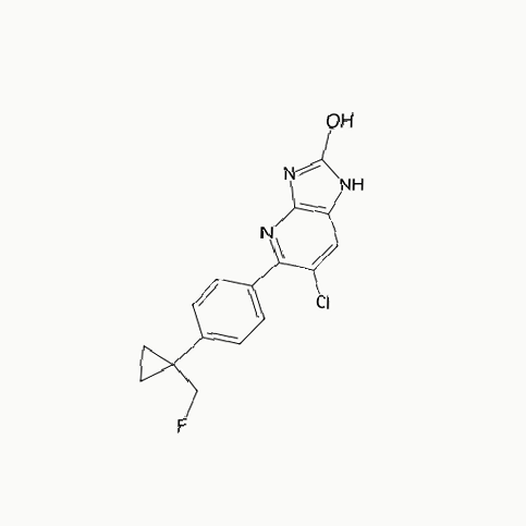 Oc1nc2nc(-c3ccc(C4(CF)CC4)cc3)c(Cl)cc2[nH]1